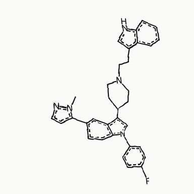 Cn1nccc1-c1ccc2c(c1)c(C1CCN(CCc3c[nH]c4ccccc34)CC1)cn2-c1ccc(F)cc1